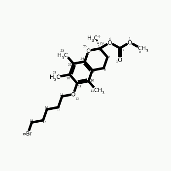 COC(=O)O[C@@]1(C)CCc2c(C)c(OCCCCCBr)c(C)c(C)c2O1